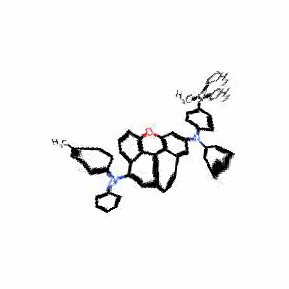 Cc1ccc(N(c2ccccc2)c2cc3ccc4cc(N(c5ccccc5)c5ccc([Si](C)(C)C)cc5)cc5c4c3c3c(cccc23)O5)cc1